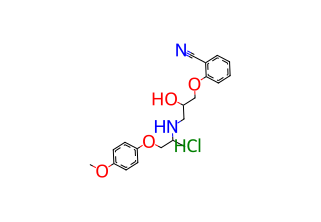 COc1ccc(OCC(C)NCC(O)COc2ccccc2C#N)cc1.Cl